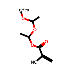 C=C(C#N)C(=O)OC(C)OC(C)OCCCCCC